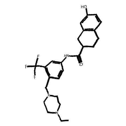 CCN1CCN(Cc2ccc(NC(=O)C3CCc4ccc(O)cc4C3)cc2C(F)(F)F)CC1